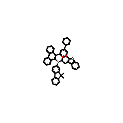 CC1(C)c2ccccc2-c2ccc(N(c3ccc4sc5ccccc5c4c3)c3c(-c4cccc(-c5ccccc5)c4)c4ccccc4c4ccccc34)cc21